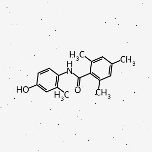 Cc1cc(C)c(C(=O)Nc2ccc(O)cc2C)c(C)c1